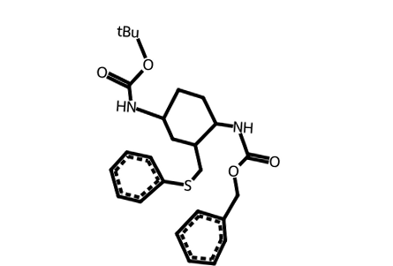 CC(C)(C)OC(=O)NC1CCC(NC(=O)OCc2ccccc2)C(CSc2ccccc2)C1